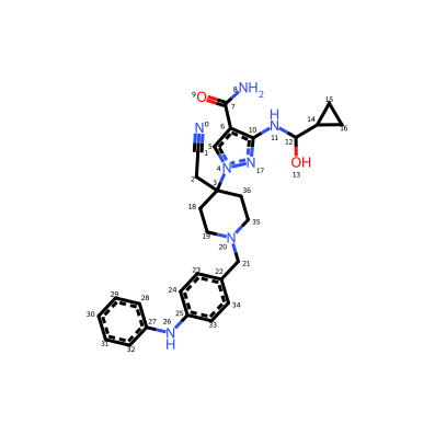 N#CCC1(n2cc(C(N)=O)c(NC(O)C3CC3)n2)CCN(Cc2ccc(Nc3ccccc3)cc2)CC1